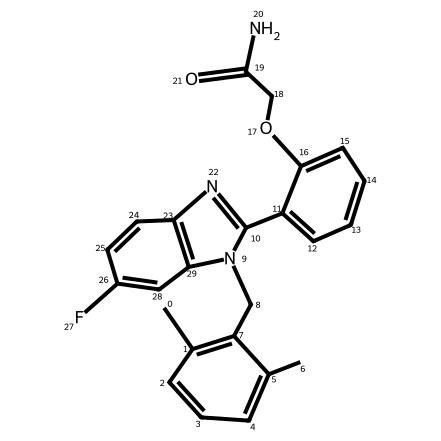 Cc1cccc(C)c1Cn1c(-c2ccccc2OCC(N)=O)nc2ccc(F)cc21